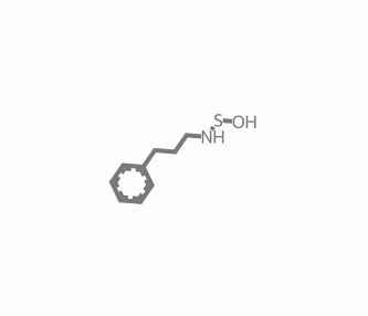 OSNCCCc1ccccc1